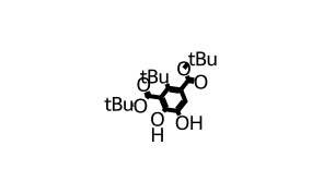 CC(C)(C)OC(=O)c1cc(O)c(O)c(C(=O)OC(C)(C)C)c1C(C)(C)C